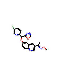 CO/N=C(\C)c1cnc2ccc(OC(c3ccc(F)cn3)c3nnco3)cc2c1